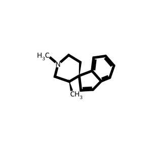 C[C@H]1CN(C)CC[C@@]12C=Cc1ccccc12